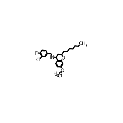 CCCCCCCC1CC(NCc2ccc(F)c(Cl)c2)c2ccc(OC)cc2O1.Cl